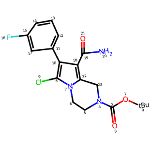 CC(C)(C)OC(=O)N1CCn2c(Cl)c(-c3cccc(F)c3)c(C(N)=O)c2C1